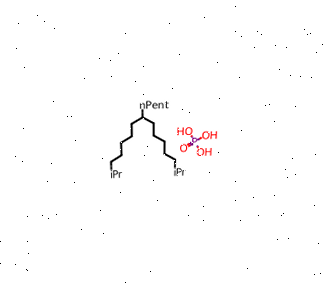 CCCCCC(CCCCCC(C)C)CCCCCC(C)C.O=P(O)(O)O